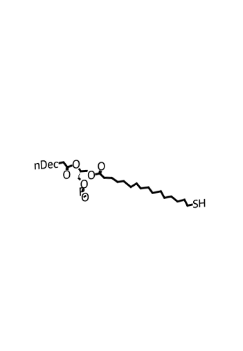 CCCCCCCCCCCC(=O)O[C@@H](COP=O)COC(=O)CCCCCCCCCCCCCCCS